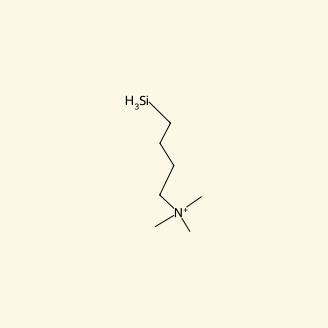 C[N+](C)(C)CCCC[SiH3]